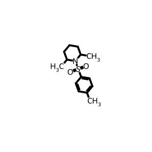 Cc1ccc(S(=O)(=O)N2C(C)CCCC2C)cc1